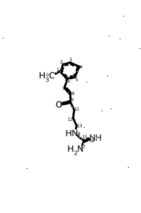 Cc1ccccc1C=CC(=O)CCCNC(=N)N